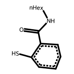 CCCCCCNC(=O)c1ccccc1S